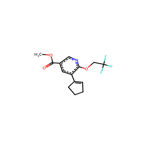 COC(=O)c1cnc(OCC(F)(F)F)c(C2=CCCC2)c1